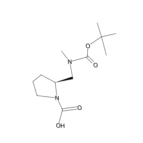 CN(C[C@@H]1CCCN1C(=O)O)C(=O)OC(C)(C)C